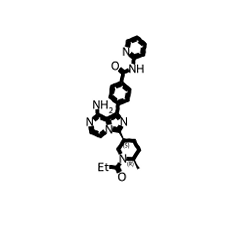 CCC(=O)N1C[C@@H](c2nc(-c3ccc(C(=O)Nc4ccccn4)cc3)c3c(N)nccn23)CC[C@H]1C